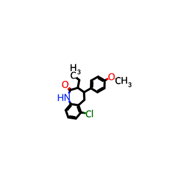 CCC1C(=O)Nc2cccc(Cl)c2CC1c1ccc(OC)cc1